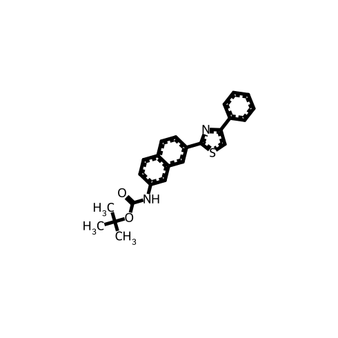 CC(C)(C)OC(=O)Nc1ccc2ccc(-c3nc(-c4ccccc4)cs3)cc2c1